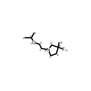 CC(C)OCCN1CCC(C)(F)C1